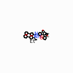 C=C(CC)C(N/C(=N\c1ccc2c(c1)Oc1ccccc1C21c2ccccc2C2C=CC=CC21)c1ccc(-c2ccccc2)cc1)c1ccc(-c2ccccc2)cc1